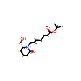 CC(C)OC(=O)CCCCCCN1C(=O)CCC[C@@H]1CO